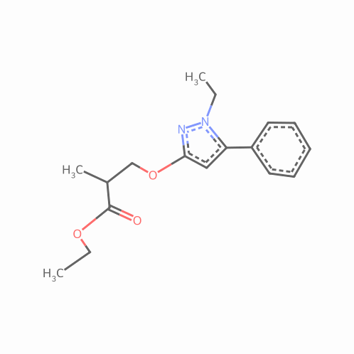 CCOC(=O)C(C)COc1cc(-c2ccccc2)n(CC)n1